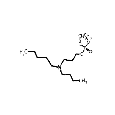 CCCCCN(CCCC)CCCOP(=O)(OC)OC